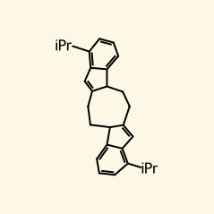 CC(C)c1cccc2c1C=C1CCC3C(=Cc4c(C(C)C)cccc43)CCC12